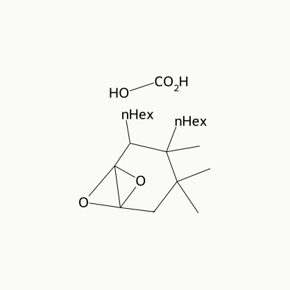 CCCCCCC1C(C)(CCCCCC)C(C)(C)CC23OC12O3.O=C(O)O